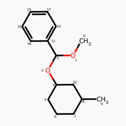 COC(OC1CCCC(C)C1)c1ccccc1